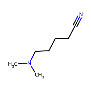 CN(C)CCCCC#N